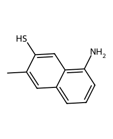 Cc1cc2cccc(N)c2cc1S